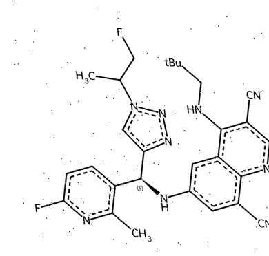 Cc1nc(F)ccc1[C@H](Nc1cc(C#N)c2ncc(C#N)c(NCC(C)(C)C)c2c1)c1cn(C(C)CF)nn1